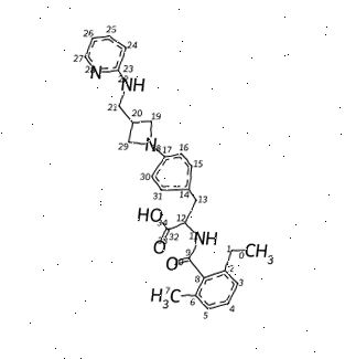 CCc1cccc(C)c1C(=O)NC(Cc1ccc(N2CC(CNc3ccccn3)C2)cc1)C(=O)O